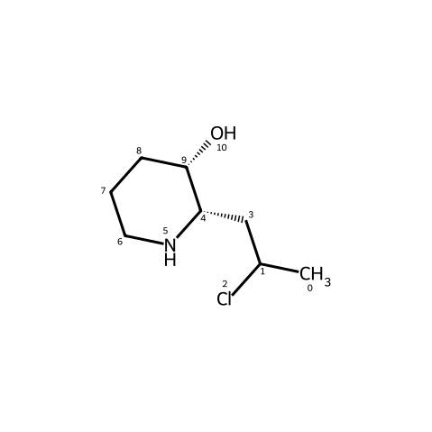 CC(Cl)C[C@@H]1NCCC[C@@H]1O